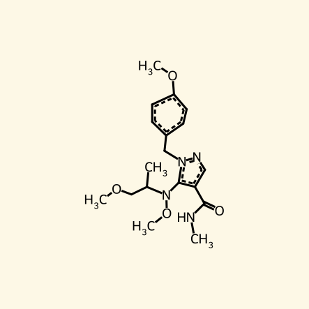 CNC(=O)c1cnn(Cc2ccc(OC)cc2)c1N(OC)C(C)COC